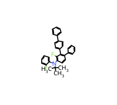 CC(C)(C)N(c1ccccc1F)c1ccc(-c2ccccc2)c(-c2ccc(-c3ccccc3)cc2)c1F